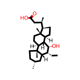 CC[C@H]1[C@@H](O)[C@@H]2[C@H](CC[C@]3(C)[C@@H]([C@H](C)CC(=O)O)CC[C@@H]23)[C@@]2(C)CC[C@@H](C)C[C@@H]12